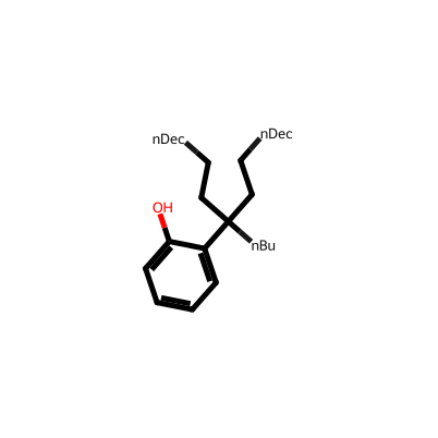 CCCCCCCCCCCCC(CCCC)(CCCCCCCCCCCC)c1ccccc1O